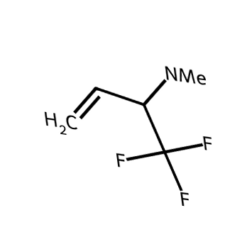 C=CC(NC)C(F)(F)F